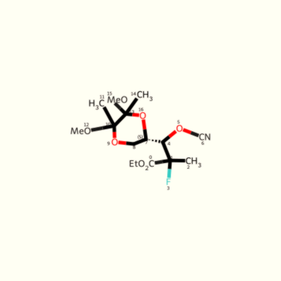 CCOC(=O)C(C)(F)C(OC#N)[C@@H]1COC(C)(OC)C(C)(OC)O1